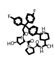 CC(NC(=O)[C@H]1CCCN1C(=O)[C@@H]1C[C@@H](O)CN1C(=O)CC(c1ccc(F)cc1)(c1ccc(F)cc1)c1ccc(F)cc1)C1CCNCC1